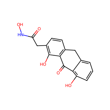 O=C(Cc1ccc2c(c1O)C(=O)c1c(O)cccc1C2)NO